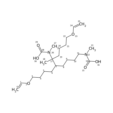 C=COCCCCC(CCCCN(C)C(=O)O)C(C)(CCCCOC=C)N(C)C(=O)O